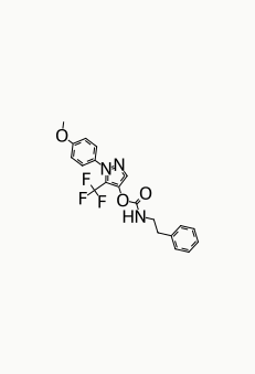 COc1ccc(-n2ncc(OC(=O)NCCc3ccccc3)c2C(F)(F)F)cc1